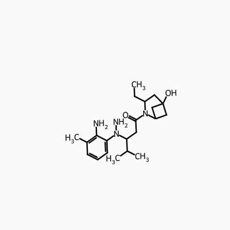 CCC1CC2(O)CC(C2)N1C(=O)CC(C(C)C)N(N)c1cccc(C)c1N